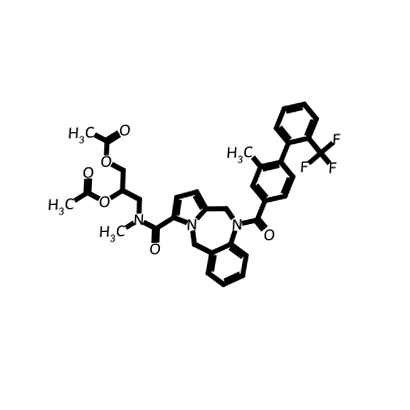 CC(=O)OCC(CN(C)C(=O)c1ccc2n1Cc1ccccc1N(C(=O)c1ccc(-c3ccccc3C(F)(F)F)c(C)c1)C2)OC(C)=O